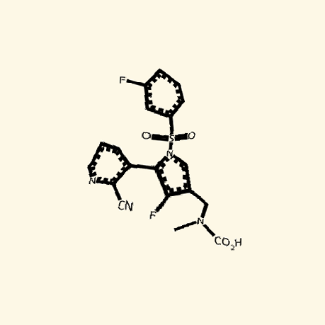 CN(Cc1cn(S(=O)(=O)c2cccc(F)c2)c(-c2cccnc2C#N)c1F)C(=O)O